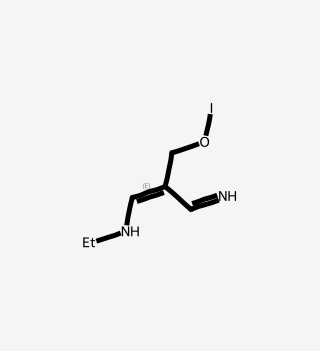 CCN/C=C(\C=N)COI